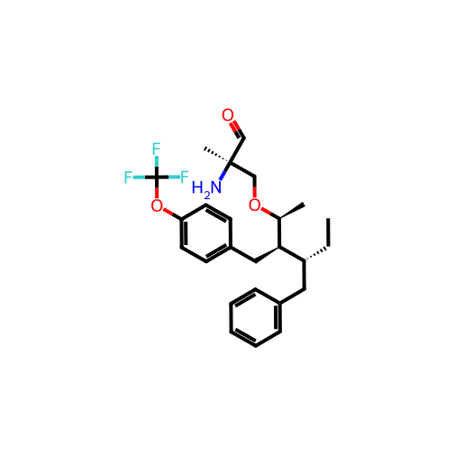 CC[C@H](Cc1ccccc1)[C@@H](Cc1ccc(OC(F)(F)F)cc1)[C@H](C)OC[C@@](C)(N)C=O